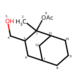 CC(=O)OC1(C)C(CO)CC2CCCC1C2